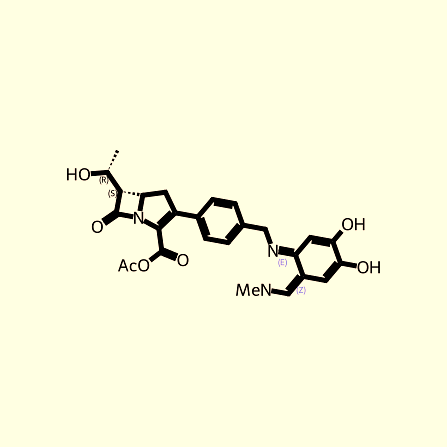 CN/C=C1/C=C(O)C(O)=C/C1=N\Cc1ccc(C2=C(C(=O)OC(C)=O)N3C(=O)[C@H]([C@@H](C)O)C3C2)cc1